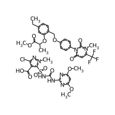 CCc1ccc(COc2ccc(-n3c(=O)cc(C(F)(F)F)n(C)c3=O)cc2)c(OC(C)C(=O)OC)c1.COc1cc(OC)nc(NC(=O)NS(=O)(=O)c2c(C(=O)O)c(Cl)nn2C)n1